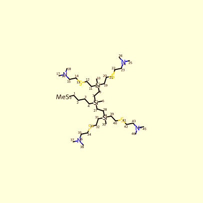 CSCCCC[Si](C)(CC[Si](C)(CCSCCN(C)C)CCSCCN(C)C)CC[Si](C)(CCSCCN(C)C)CCSCCN(C)C